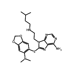 CC(C)CCNCCn1c(Sc2cc3c(cc2N(C)C)OCO3)nc2c(N)ncnc21